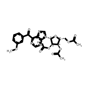 COc1cccc(C(=O)c2ncnc3c2ncn3[C@@H]2O[C@H](COC(C)=O)[C@@H](OC(C)=O)[C@H]2OC(C)=O)c1